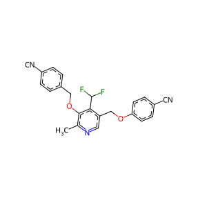 [C-]#[N+]c1ccc(COc2c(C)ncc(COc3ccc(C#N)cc3)c2C(F)F)cc1